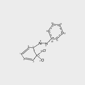 ClC1(Cl)C=CC=CC1N=Nc1ccccc1